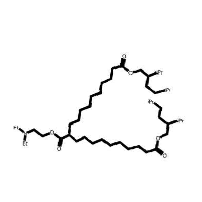 CCN(CC)CCOC(=O)C(CCCCCCCCCC(=O)OCC(CCC(C)C)C(C)C)CCCCCCCCCC(=O)OCC(CCC(C)C)C(C)C